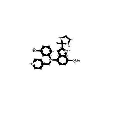 COc1ccc(N(Cc2ccncc2)c2cccc(C#N)c2)c2cc(C3(C)OCCO3)oc12